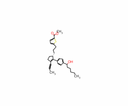 CC#CC1=C(c2ccc(C(O)CCCCC)cc2)[C@@H](CCCc2ccc(C(=O)OC)s2)CC1